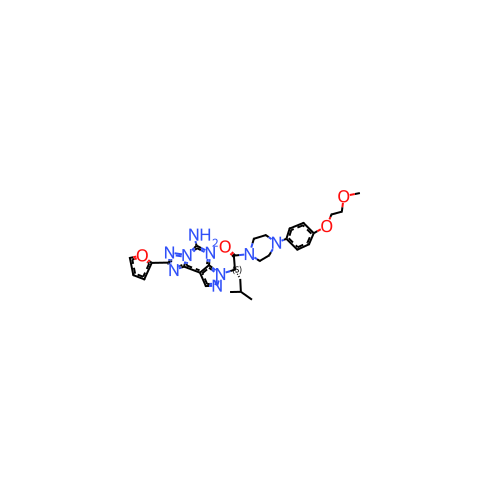 COCCOc1ccc(N2CCN(C(=O)[C@H](CC(C)C)n3ncc4c3nc(N)n3nc(-c5ccco5)nc43)CC2)cc1